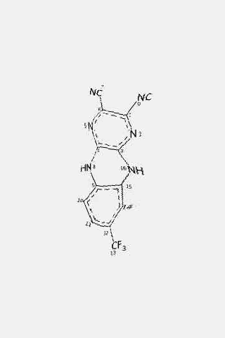 [C-]#[N+]c1nc2c(nc1C#N)Nc1ccc(C(F)(F)F)cc1N2